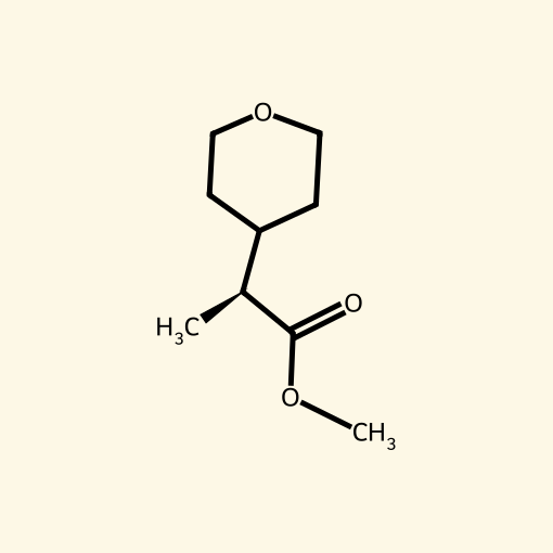 COC(=O)[C@@H](C)C1CCOCC1